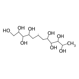 CC(O)C(O)C(O)C(O)C[CH]CC(O)C(O)C(O)CO